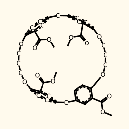 COC(=O)c1cc2ccc1OCCCOc1ccc(cc1C(=O)OC)Cc1ccc(c(C(=O)OC)c1)OCCCOc1ccc(cc1C(=O)OC)C2